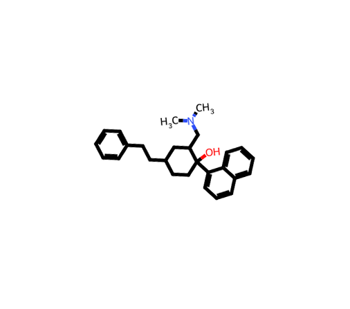 CN(C)CC1CC(CCc2ccccc2)CCC1(O)c1cccc2ccccc12